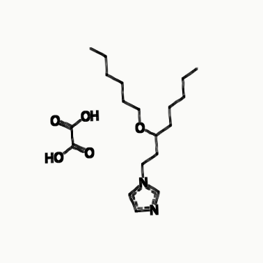 CCCCCCOC(CCCCC)CCn1ccnc1.O=C(O)C(=O)O